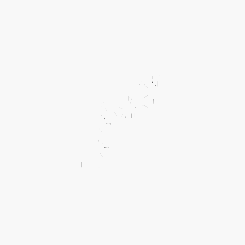 CCCNC(=O)c1ccc(C)c(NC(=N)c2[nH]cc(C(=O)N(C(=O)OCOC(=O)/C=C/C(=O)O)C3CC3)c2C)c1